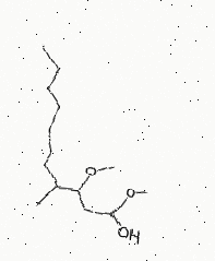 CCCCCCCC(C)C(CC(O)OC)OC